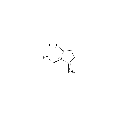 N[C@@H]1CCN(C(=O)O)[C@@H]1CO